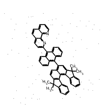 CC1(C)c2ccccc2-c2c1ccc1c(-c3c4ccccc4c(-c4ccc5ccc6cccnc6c5n4)c4ccccc34)cc3c(c21)-c1ccccc1C3(C)C